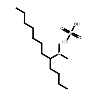 CCCCCCCC(CCCC)N(C)C.O=S(=O)(O)O